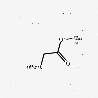 CCCCCCC(=O)O[C@@H](C)CC